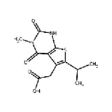 CC(C)c1sc2[nH]c(=O)n(C)c(=O)c2c1CC(=O)O